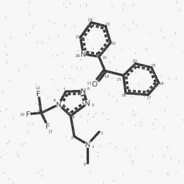 CN(C)Cc1nncn1C(F)(F)F.O=C(c1ccccc1)c1ccccn1